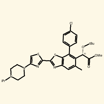 COC(=O)[C@@H](OC(C)(C)C)c1c(C)cc2nc(-c3nc(N4CCN(C(C)C)CC4)cs3)sc2c1-c1ccc(Cl)cc1